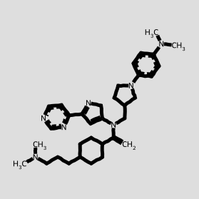 C=C(C1CCC(CCCN(C)C)CC1)N(CC1CCN(c2ccc(N(C)C)cc2)C1)C1=CC(c2ccncn2)=NC1